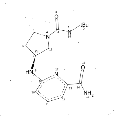 CC(C)(C)NC(=O)N1CC[C@H](Nc2cc[c]c(C(N)=O)n2)C1